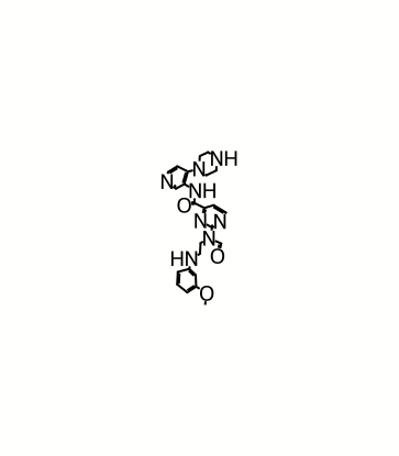 COc1cccc(NCCN(C=O)c2nccc(C(=O)Nc3cnccc3N3CCNCC3)n2)c1